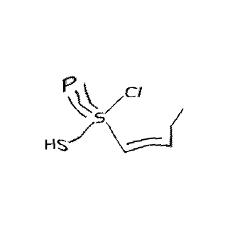 C/C=C\S(#P)(S)Cl